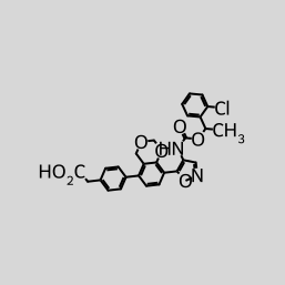 CC(OC(=O)Nc1cnoc1-c1ccc(-c2ccc(CC(=O)O)cc2)c2c1OCOC2)c1ccccc1Cl